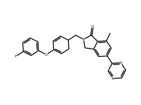 Cc1cc(-c2cnccn2)cc2c1C(=O)N(CC1C=CC(Oc3cccc(F)c3)=CC1)C2